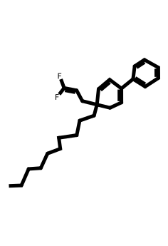 CCCCCCCCCCC1(CC=C(F)F)C=CC(c2ccccc2)=CC1